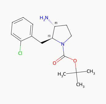 CC(C)(C)OC(=O)N1CC[C@@H](N)[C@@H]1Cc1ccccc1Cl